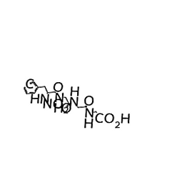 O=C(O)CNC(=O)CNC(=O)CNC(=O)C(Cc1ccccc1)N[N+](=O)[O-]